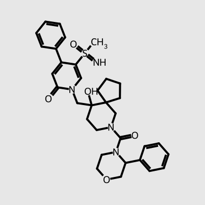 CS(=N)(=O)c1cn(CC2(O)CCN(C(=O)N3CCOCC3c3ccccc3)CC23CCCC3)c(=O)cc1-c1ccccc1